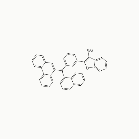 CC(C)(C)c1c(-c2cccc(N(c3cccc4ccccc34)c3cc4ccccc4c4ccccc34)c2)oc2ccccc12